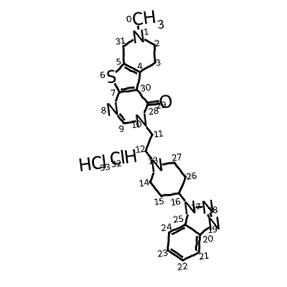 CN1CCc2c(sc3ncn(CCN4CCC(n5nnc6ccccc65)CC4)c(=O)c23)C1.Cl.Cl